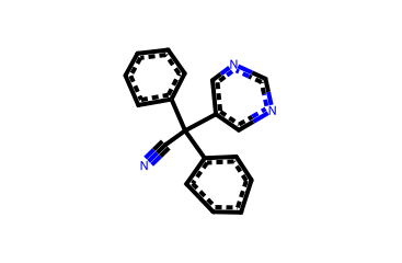 N#CC(c1ccccc1)(c1ccccc1)c1cncnc1